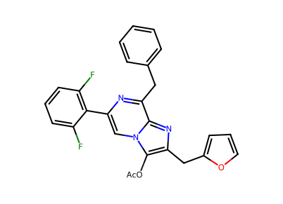 CC(=O)Oc1c(Cc2ccco2)nc2c(Cc3ccccc3)nc(-c3c(F)cccc3F)cn12